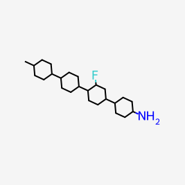 CC1CCC(C2CCC(C3CCC(C4CCC(N)CC4)CC3F)CC2)CC1